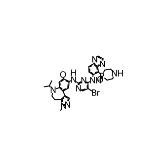 COc1cc2c(cc1Nc1ncc(Br)c(Nc3ccc4nccnc4c3P3(=O)CCNCC3)n1)-c1cnn(C)c1CCN2C(C)C